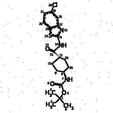 CC(C)(C)OC(=O)N[C@H]1CC[C@H](C(=O)Nc2nc3cc(Cl)ccc3s2)CC1